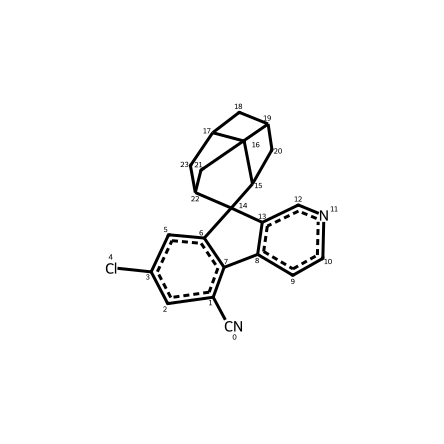 N#Cc1cc(Cl)cc2c1-c1ccncc1C21C2CC3CC(C2)CC1C3